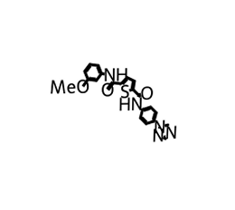 COc1cccc(NC(=O)c2ccc(C(=O)Nc3ccc(-n4cncn4)cc3)s2)c1